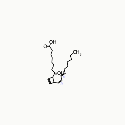 CCCCCC/C=C/C=C\C1C#CC1[C@@H](O)CCCCCCC(=O)O